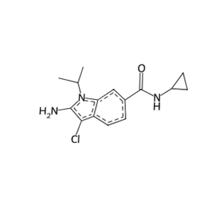 CC(C)n1c(N)c(Cl)c2ccc(C(=O)NC3CC3)cc21